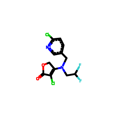 O=C1OCC(N(Cc2ccc(Cl)nc2)CC(F)F)=C1Cl